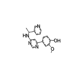 COc1cc(-c2cc(NC(C)c3cccnc3)ncn2)ccc1O